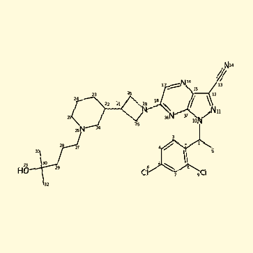 CC(c1ccc(Cl)cc1Cl)n1nc(C#N)c2ncc(N3CC(C4CCCN(CCCC(C)(C)O)C4)C3)nc21